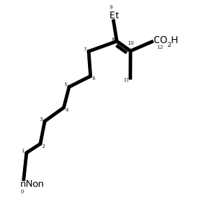 CCCCCCCCCCCCCCCCC(CC)=C(C)C(=O)O